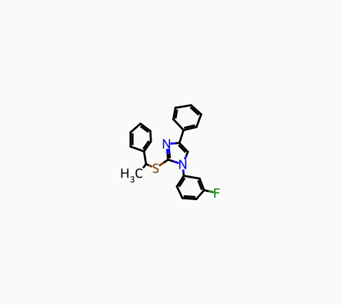 CC(Sc1nc(-c2ccccc2)cn1-c1cccc(F)c1)c1ccccc1